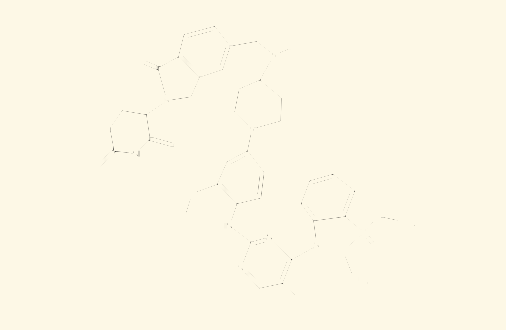 COc1cc(N2CCC(N(C)Cc3ccc4c(c3)CN(C3CCC(=O)NC3=O)C4=O)CC2)ccc1Nc1ncc(Cl)c(Nc2ccccc2P(=O)(OC)OC)n1